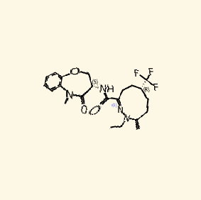 C=C1CC[C@@H](C(F)(F)F)CC/C(C(=O)N[C@H]2COc3ccccc3N(C)C2=O)=N\N1CC